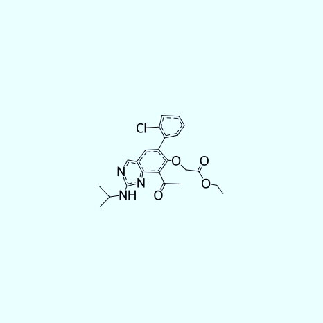 CCOC(=O)COc1c(-c2ccccc2Cl)cc2cnc(NC(C)C)nc2c1C(C)=O